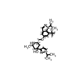 CC(C)n1ccc([C@@]2(O)C[C@@H](COc3cc(C(F)(F)F)c4c(cnn4C(C)C)c3)N[C@@H](C)C2)n1